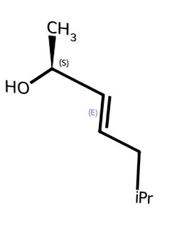 CC(C)C/C=C/[C@H](C)O